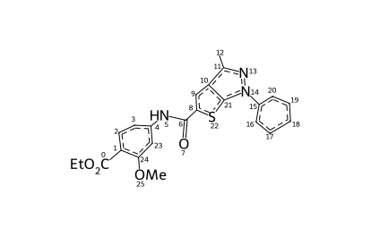 CCOC(=O)c1ccc(NC(=O)c2cc3c(C)nn(-c4ccccc4)c3s2)cc1OC